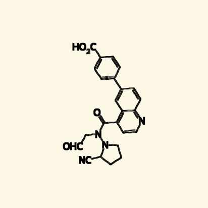 N#CC1CCCN1N(CC=O)C(=O)c1ccnc2ccc(-c3ccc(C(=O)O)cc3)cc12